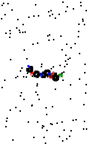 Cc1c(Cl)cccc1S(=O)(=O)N1CCCC2(CCN([C@H]3CC[C@@H](Oc4ccncc4)CC3)C2)C1